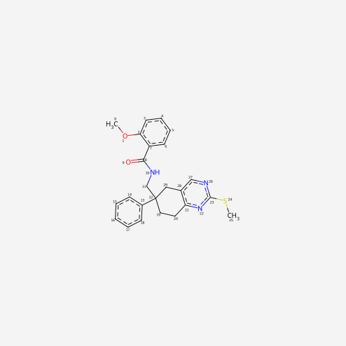 COc1ccccc1C(=O)NCC1(c2ccccc2)CCc2nc(SC)ncc2C1